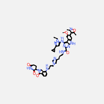 CCn1nc(C2CC2)cc1Nc1nc(C(=O)NCCCc2cn(CCCNc3cccc4c3CN(C3CCC(=O)NC3=O)C4=O)cn2)nc2[nH]c3cc(-c4c(C)noc4C)c(OC)cc3c12